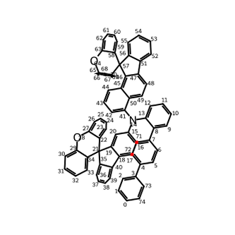 c1ccc(-c2ccc(-c3ccccc3N(c3ccc4c(c3)C3(c5ccccc5Oc5ccccc53)c3ccccc3-4)c3cccc4c5c(ccc34)-c3ccccc3C53c4ccccc4Oc4ccccc43)cc2)cc1